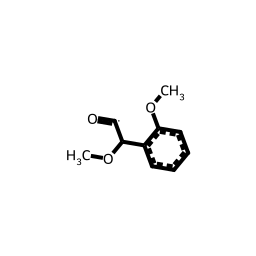 COc1ccccc1C([C]=O)OC